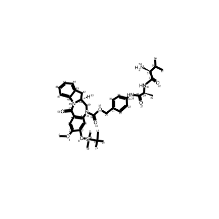 COc1cc2c(cc1O[Si](C)(C)C(C)(C)C)N(C(=O)OCc1ccc(NC(=O)[C@H](C)NC(=O)[C@@H](N)C(C)C)cc1)C[C@@H]1Cc3ccccc3N1C2=O